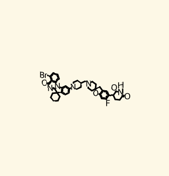 O=C1CCC(c2cc3c(cc2F)OC2(CCN(CC4CCN(c5ccc6c(c5)-n5c(nc(=O)c7c(Br)cccc75)C65CCCCC5)CC4)CC2)C3)C(=O)N1